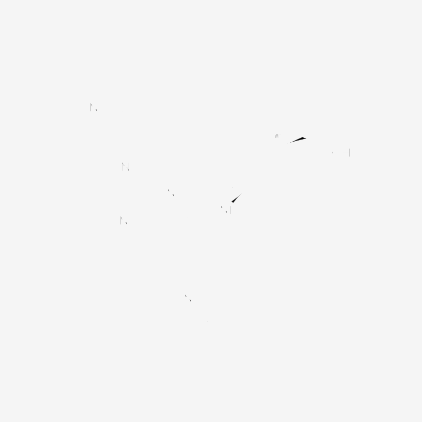 Cc1nc(NCc2ccccn2)nc(N[C@H]2CC[C@@H](CO)C2)c1-c1nc2ccccc2s1